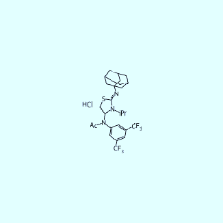 CC(=O)N(c1cc(C(F)(F)F)cc(C(F)(F)F)c1)C1CSC(=NC23CC4CC(CC(C4)C2)C3)N1C(C)C.Cl